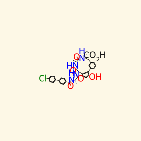 C[C@@H]1NC(=O)[C@@H](N(C)C(=O)[C@H](C)NC(=O)c2ccc(-c3ccc(Cl)cc3)cc2)c2ccc(O)c(c2)-c2cccc(c2)C[C@@H](C(=O)O)NC1=O